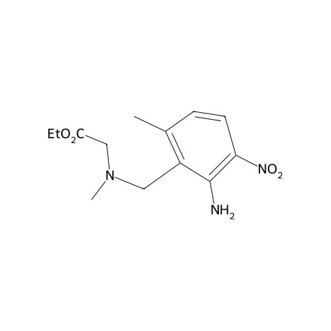 CCOC(=O)CN(C)Cc1c(C)ccc([N+](=O)[O-])c1N